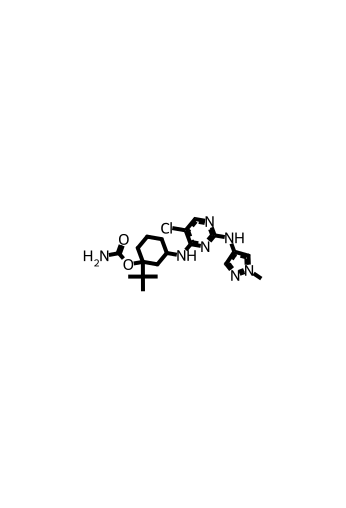 Cn1cc(Nc2ncc(Cl)c(NC3CCCC(OC(N)=O)(C(C)(C)C)C3)n2)cn1